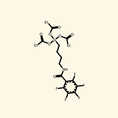 CCC(=O)O[Si](CCCCNC(=O)c1c(F)c(F)c(F)c(F)c1F)(OC(=O)CC)OC(=O)CC